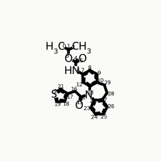 CC(C)OC(=O)Nc1ccc2c(c1)N(C(=O)Cc1ccsc1)c1ccccc1CC2